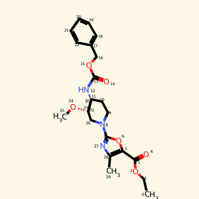 CCOC(=O)c1oc(N2CC[C@@H](NC(=O)OCc3ccccc3)[C@@H](OC)C2)nc1C